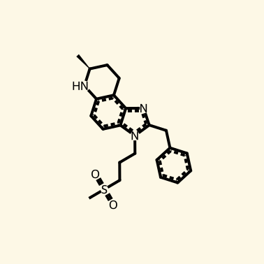 C[C@H]1CCc2c(ccc3c2nc(Cc2ccccc2)n3CCCS(C)(=O)=O)N1